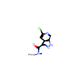 CON(C)C(=O)c1n[nH]c2cnc(Cl)cc12